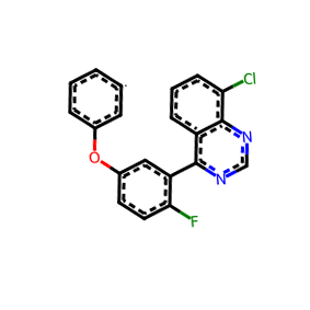 Fc1ccc(Oc2c[c]ccc2)cc1-c1ncnc2c(Cl)cccc12